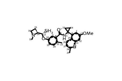 COc1cc(C2(NC(=O)c3cc(O[C@@H]([SiH3])[C@@H]4CCN4C)ccc3C)CC2)c2ccc(C)nc2c1